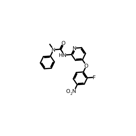 CN(C(=O)Nc1cc(Oc2ccc([N+](=O)[O-])cc2F)ccn1)c1ccccc1